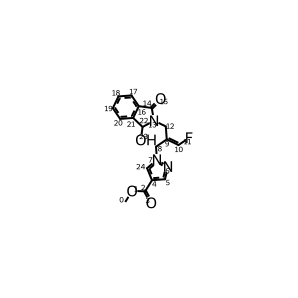 COC(=O)c1cnn(C/C(=C/F)CN2C(=O)c3ccccc3C2O)c1